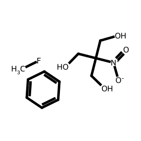 CF.O=[N+]([O-])C(CO)(CO)CO.c1ccccc1